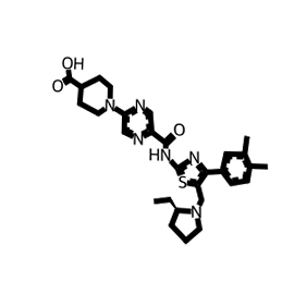 CC[C@@H]1CCCN1Cc1sc(NC(=O)c2cnc(N3CCC(C(=O)O)CC3)cn2)nc1-c1ccc(C)c(C)c1